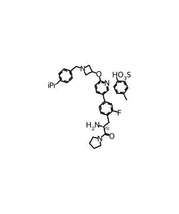 CC(C)c1ccc(CN2CC(Oc3ccc(-c4ccc(C[C@H](N)C(=O)N5CCCC5)c(F)c4)cn3)C2)cc1.Cc1ccc(S(=O)(=O)O)cc1